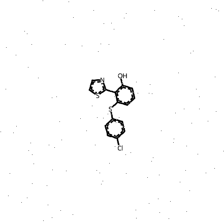 Oc1cccc(Sc2ccc(Cl)cc2)c1-c1nccs1